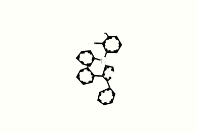 Clc1cccc(N(c2ccccc2)c2csc(-c3ccccc3)c2-c2ccccc2)c1Cl